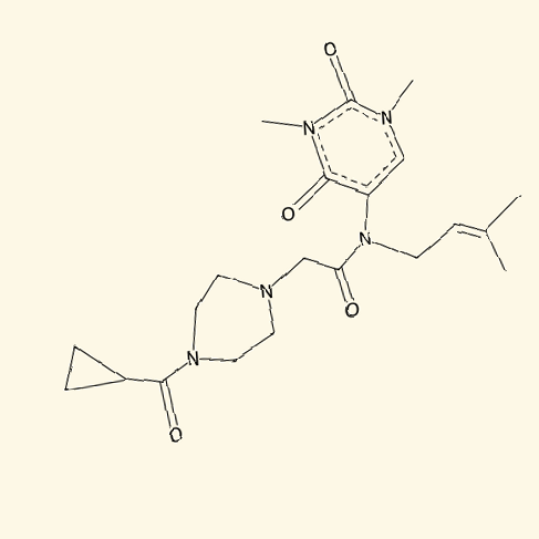 CC(C)=CCN(C(=O)CN1CCN(C(=O)C2CC2)CC1)c1cn(C)c(=O)n(C)c1=O